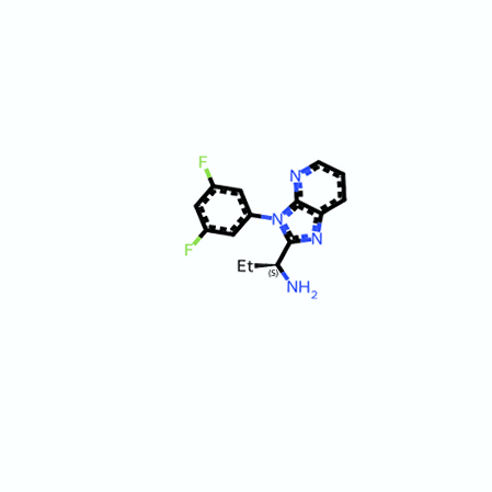 CC[C@H](N)c1nc2cccnc2n1-c1cc(F)cc(F)c1